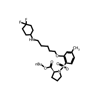 CCCCOC(=O)[C@@H]1CCCN1S(=O)(=O)c1ccc(C)cc1OCCCCCNC1CCC(F)(F)CC1